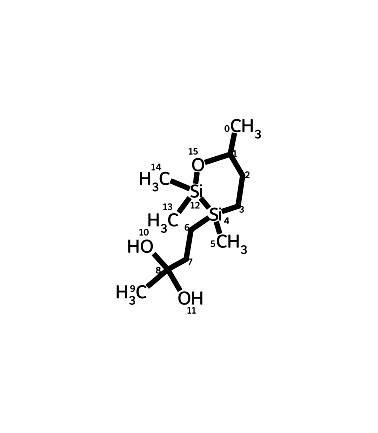 CC1CC[Si](C)(CCC(C)(O)O)[Si](C)(C)O1